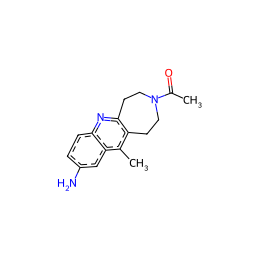 CC(=O)N1CCc2nc3ccc(N)cc3c(C)c2CC1